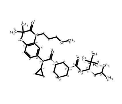 COCCCN1C(=O)C(C)(C)Oc2ccc(N(C(=O)[C@H]3CNC[C@@H](C(=O)N[C@@H](CC(C)C)C(C)(C)O)C3)C3CC3)cc21